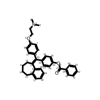 CN(C)CCOc1ccc(C(=C2CCCCc3ccccc32)c2ccc(OC(=O)c3ccccc3)cc2)cc1